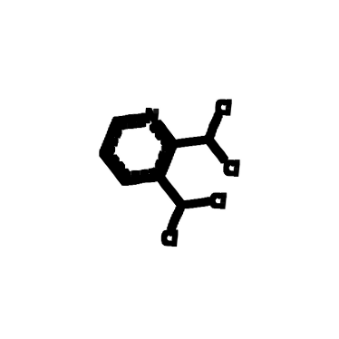 ClC(Cl)c1cccnc1C(Cl)Cl